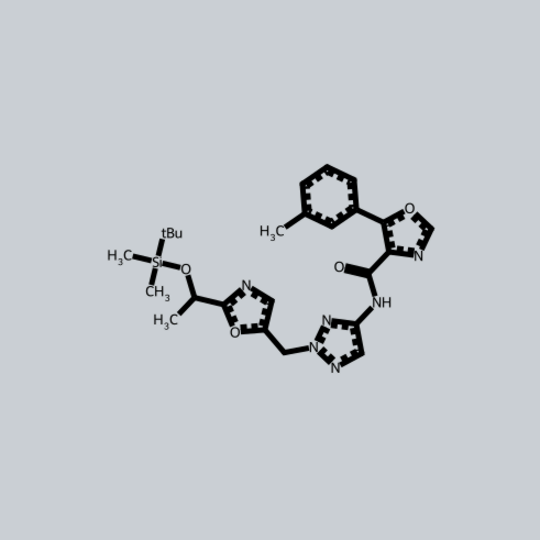 Cc1cccc(-c2ocnc2C(=O)Nc2cnn(Cc3cnc(C(C)O[Si](C)(C)C(C)(C)C)o3)n2)c1